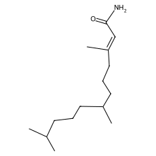 C/C(=C\C(N)=O)CCCC(C)CCCC(C)C